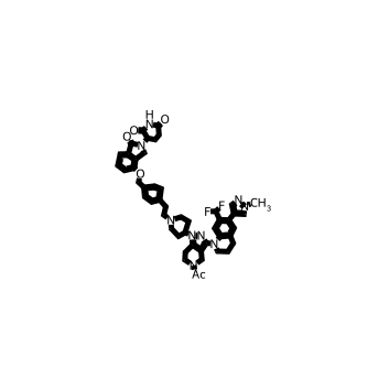 CC(=O)N1CCc2c(c(N3CCCc4cc(-c5cnn(C)c5)c(C(F)F)cc43)nn2C2CCN(CCc3ccc(COc4cccc5c4CN(C4CCC(=O)NC4=O)C5=O)cc3)CC2)C1